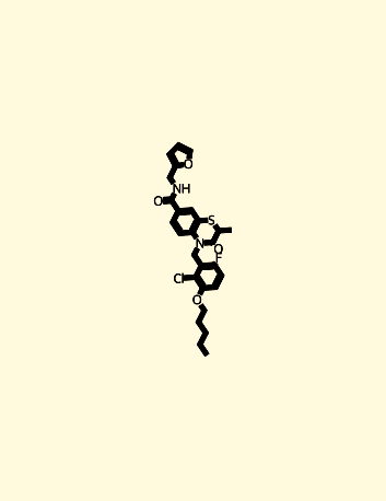 CCCCCOc1ccc(F)c(CN2C(=O)C(C)Sc3cc(C(=O)NCc4ccco4)ccc32)c1Cl